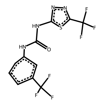 O=C(Nc1cccc(C(F)(F)F)c1)Nc1nnc(C(F)(F)F)s1